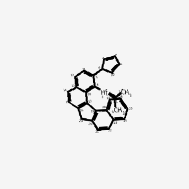 C[C](C)=[Hf][c]1c(C2C=CC=C2)ccc2ccc3c(c12)-c1c(ccc2ccccc12)C3